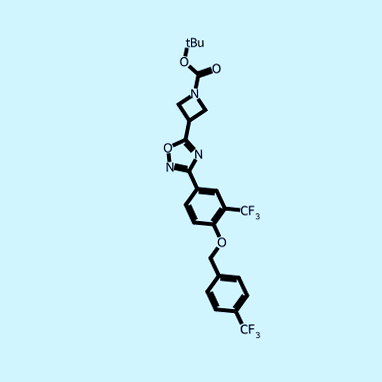 CC(C)(C)OC(=O)N1CC(c2nc(-c3ccc(OCc4ccc(C(F)(F)F)cc4)c(C(F)(F)F)c3)no2)C1